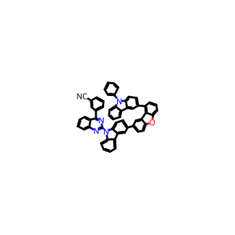 N#Cc1cccc(-c2nc(-n3c4ccccc4c4cc(-c5ccc6oc7cccc(-c8ccc9c(c8)c8ccccc8n9-c8ccccc8)c7c6c5)ccc43)nc3ccccc23)c1